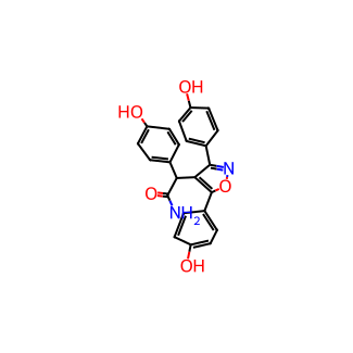 NC(=O)C(c1ccc(O)cc1)c1c(-c2ccc(O)cc2)noc1-c1ccc(O)cc1